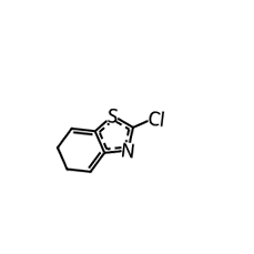 Clc1nc2c(s1)=CCCC=2